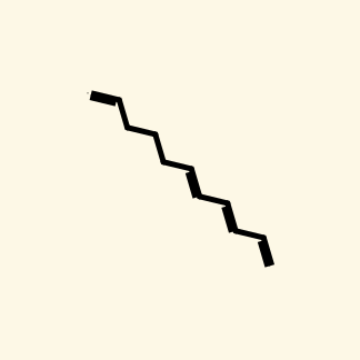 [CH]=CCCCC=CC=CC=C